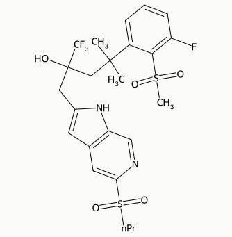 CCCS(=O)(=O)c1cc2cc(CC(O)(CC(C)(C)c3cccc(F)c3S(C)(=O)=O)C(F)(F)F)[nH]c2cn1